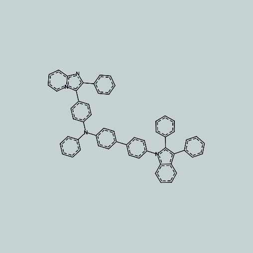 c1ccc(-c2nc3ccccn3c2-c2ccc(N(c3ccccc3)c3ccc(-c4ccc(-n5c(-c6ccccc6)c(-c6ccccc6)c6ccccc65)cc4)cc3)cc2)cc1